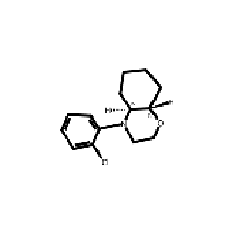 Clc1ccccc1N1CCO[C@H]2CCCC[C@@H]21